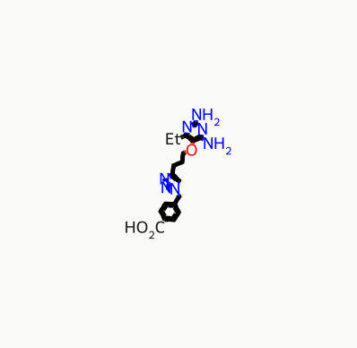 CCc1nc(N)nc(N)c1OCCCc1cn(Cc2ccc(C(=O)O)cc2)nn1